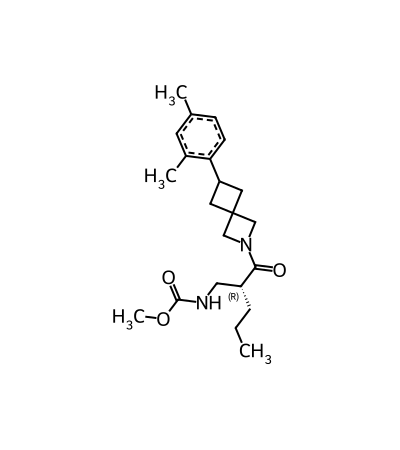 CCC[C@H](CNC(=O)OC)C(=O)N1CC2(CC(c3ccc(C)cc3C)C2)C1